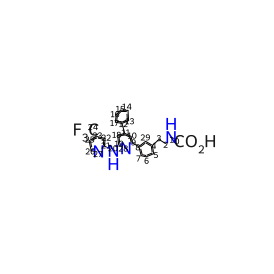 O=C(O)NCCc1cccc(-c2cc(-c3ccccc3)cc(Nc3cc(C(F)(F)F)ccn3)n2)c1